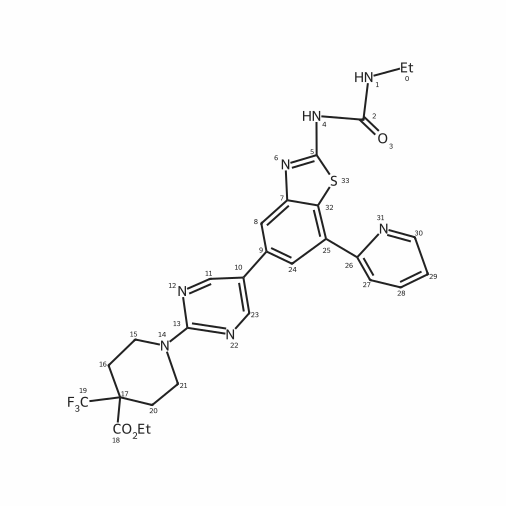 CCNC(=O)Nc1nc2cc(-c3cnc(N4CCC(C(=O)OCC)(C(F)(F)F)CC4)nc3)cc(-c3ccccn3)c2s1